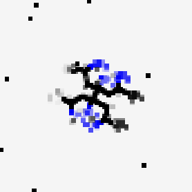 CC(N)CC(N)(CC(C)N)C(N)(CC(C)N)CC(C)N